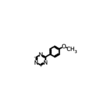 COc1ccc(-c2n[c]n[c]n2)cc1